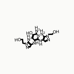 Nc1nc(Nc2cnn(CCO)c2N)c(Nc2cnn(CCO)c2N)cc1O